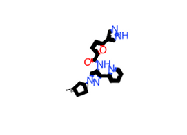 C[C@H]1CC[C@H](n2cc(NC(=O)c3ccc(-c4cn[nH]c4)o3)c(-c3ccccn3)n2)C1